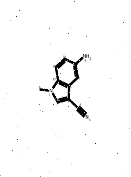 Cn1cc(C#N)c2cc(N)ccc21